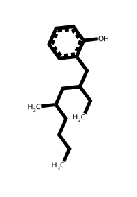 CCCCC(C)CC(CC)Cc1ccccc1O